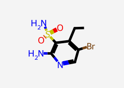 CCc1c(Br)cnc(N)c1S(N)(=O)=O